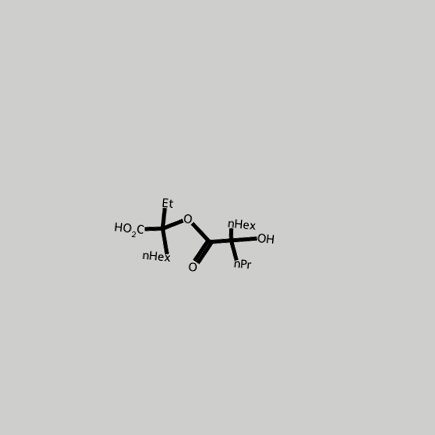 CCCCCCC(O)(CCC)C(=O)OC(CC)(CCCCCC)C(=O)O